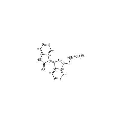 CCOC(=O)NCC1OC(=C2C(=O)Nc3ccccc32)c2ccccc21